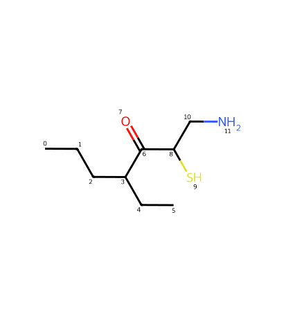 CCCC(CC)C(=O)C(S)CN